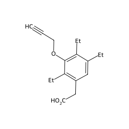 C#CCOc1c(CC)c(CC)cc(CC(=O)O)c1CC